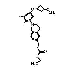 CCOC(=O)CCc1ccc2c(c1)CCN(c1cc(OC3CC(OC)C3)cc(F)c1F)C2